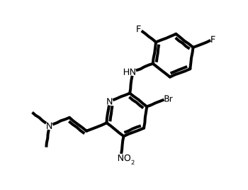 CN(C)C=Cc1nc(Nc2ccc(F)cc2F)c(Br)cc1[N+](=O)[O-]